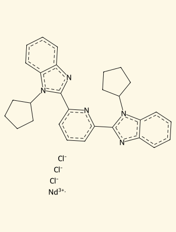 [Cl-].[Cl-].[Cl-].[Nd+3].c1cc(-c2nc3ccccc3n2C2CCCC2)nc(-c2nc3ccccc3n2C2CCCC2)c1